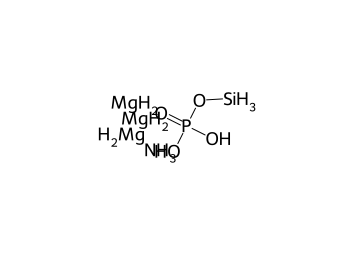 N.O=P(O)(O)O[SiH3].[MgH2].[MgH2].[MgH2]